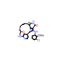 COc1c(Cl)cccc1Nc1c2[nH]c3c1C(=O)NC[C@H]3C/C=C\CC[C@H]1CNc3nccc-2c3O1